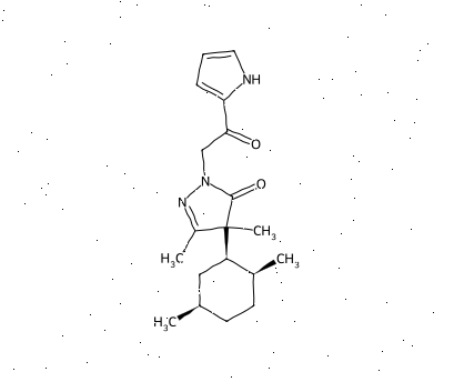 CC1=NN(CC(=O)c2ccc[nH]2)C(=O)C1(C)[C@@H]1C[C@H](C)CC[C@@H]1C